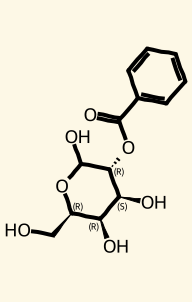 O=C(O[C@H]1C(O)O[C@H](CO)[C@H](O)[C@@H]1O)c1ccccc1